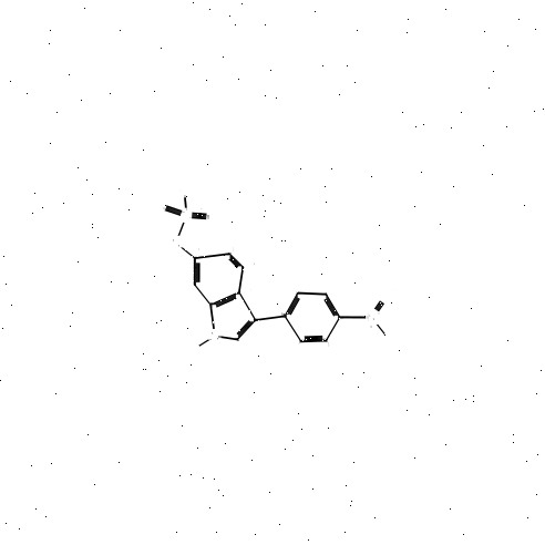 Cn1cc(-c2ccc([N+](=O)[O-])cc2)c2ccc(NS(C)(=O)=O)cc21